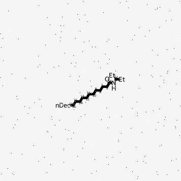 [CH2]CC(CC)NC(=O)CCCCCCCCCCCCCCCCCCCCC